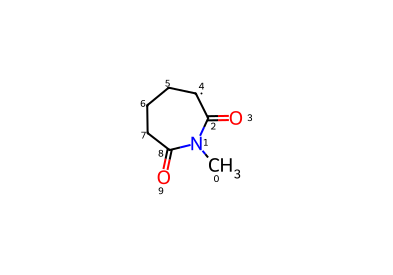 CN1C(=O)[CH]CCCC1=O